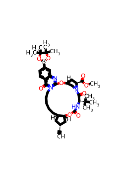 C#C[C@@H]1C[C@H]2CCCCCn3c(nc4cc(B5OC(C)(C)C(C)(C)O5)ccc4c3=O)O[C@@H]3C[C@@H](C(=O)OC)N(C3)C(=O)[C@H](C(C)(C)C)NC(=O)O[C@@H]2C1